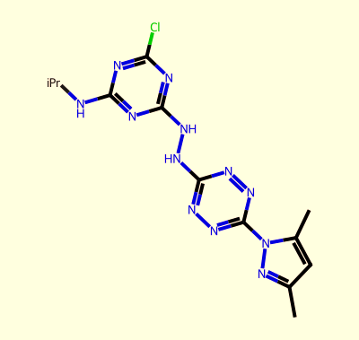 Cc1cc(C)n(-c2nnc(NNc3nc(Cl)nc(NC(C)C)n3)nn2)n1